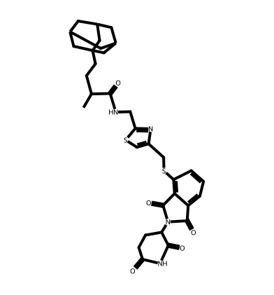 CC(CCC12CC3CC(CC(C3)C1)C2)C(=O)NCc1nc(CSc2cccc3c2C(=O)N(C2CCC(=O)NC2=O)C3=O)cs1